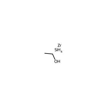 CCO.[SiH4].[Zr]